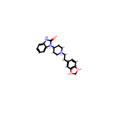 O=c1[nH]c2ccccc2n1C1CCN(CCc2ccc3c(c2)OCO3)CC1